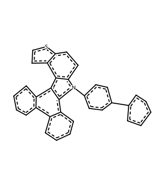 c1ccc(-c2ccc(-n3c4ccc5sccc5c4c4c5ccccc5c5ccccc5c43)cc2)cc1